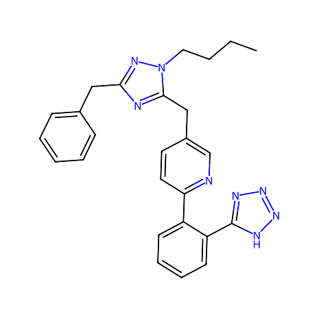 CCCCn1nc(Cc2ccccc2)nc1Cc1ccc(-c2ccccc2-c2nnn[nH]2)nc1